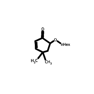 CCCCCCOC1CC(C)(C)C=CC1=O